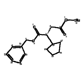 CC(C)(C)OC(=O)C[C@@H](C(=O)OCc1ccccc1)C1CCCC1